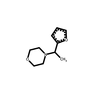 CC(c1ccco1)N1CCOCC1